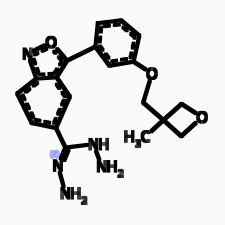 CC1(COc2cccc(-c3onc4ccc(/C(=N/N)NN)cc34)c2)COC1